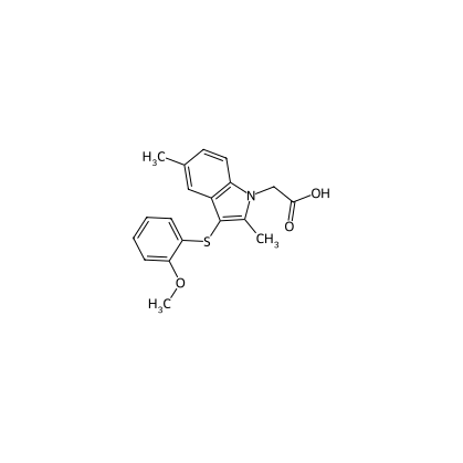 COc1ccccc1Sc1c(C)n(CC(=O)O)c2ccc(C)cc12